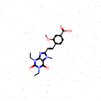 CCn1c(=O)c2c(nc(/C=C/c3ccc(C(=O)O)cc3OC)n2C)n(CC)c1=O